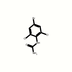 CC(=O)c1cc(Cl)c(NC(N)=O)c(Cl)c1